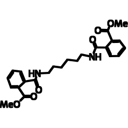 COC(=O)c1ccccc1C(=O)NCCCCCCNC(=O)c1ccccc1C(=O)OC